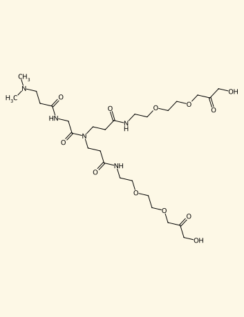 CN(C)CCC(=O)NCC(=O)N(CCC(=O)NCCOCCOCC(=O)CO)CCC(=O)NCCOCCOCC(=O)CO